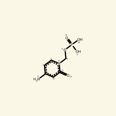 Nc1ccn(COP(=O)(O)O)c(=O)c1